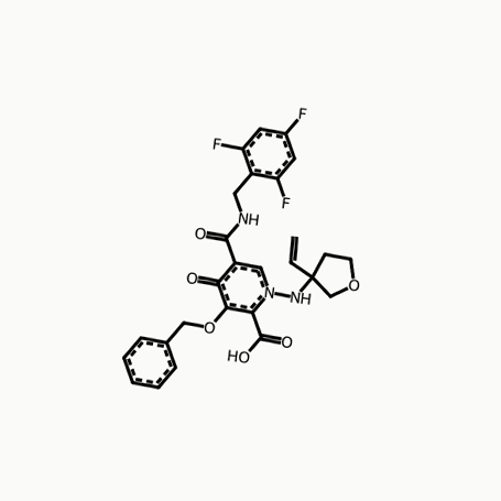 C=CC1(Nn2cc(C(=O)NCc3c(F)cc(F)cc3F)c(=O)c(OCc3ccccc3)c2C(=O)O)CCOC1